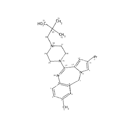 Cc1ccc2c(c1)Cn1cc(C(C)C)cc1C(N1CCN(CC(C)(C)C(=O)O)CC1)=N2